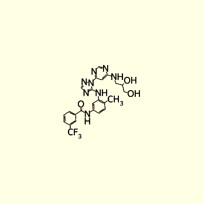 Cc1ccc(NC(=O)c2cccc(C(F)(F)F)c2)cc1Nc1ncnn1-c1cc(NCC(O)CO)ncn1